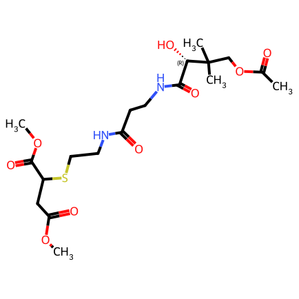 COC(=O)CC(SCCNC(=O)CCNC(=O)[C@H](O)C(C)(C)COC(C)=O)C(=O)OC